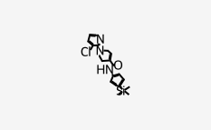 C[Si](C)(C)c1ccc(NC(=O)C2=CCN(c3ncccc3Cl)CC2)cc1